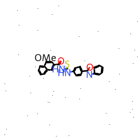 COc1cc2ccccc2cc1C(=O)NC(=S)Nc1ccc(-c2nc3ccccc3o2)cc1